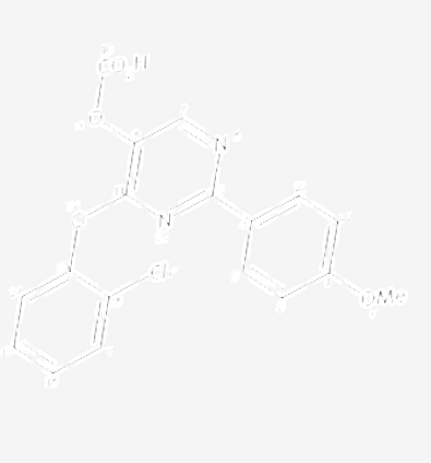 COc1ccc(-c2ncc(OC(=O)O)c(Oc3ccccc3Cl)n2)cc1